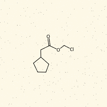 O=C(CC1CCCC1)OCCl